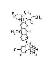 C=CC(=O)Nc1cc(Nc2nccc(Nc3cc(Cl)c(F)cc3C(C)(C)O)n2)c(OC)cc1N1C[C@H](F)C[C@@H]1CC